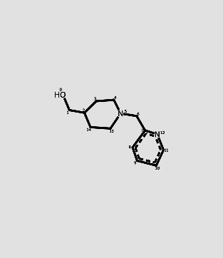 OCC1CCN(Cc2ccccn2)CC1